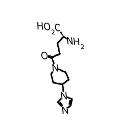 N[C@@H](CCC(=O)N1CCC(n2ccnc2)CC1)C(=O)O